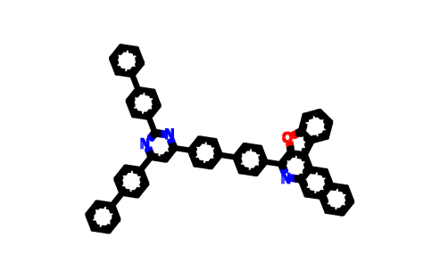 c1ccc(-c2ccc(-c3cc(-c4ccc(-c5ccc(-c6nc7cc8ccccc8cc7c7c6oc6ccccc67)cc5)cc4)nc(-c4ccc(-c5ccccc5)cc4)n3)cc2)cc1